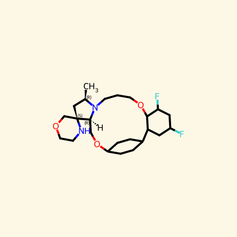 C[C@@H]1C[C@@]2(COCCN2)[C@@H]2COC3CCC(CC3)C3CC(F)CC(F)C3OCCCN12